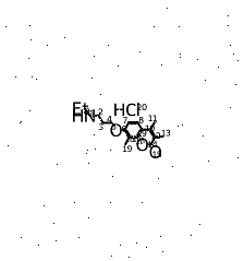 CCNCCCOc1ccc2c(C)c(C)c(=O)oc2c1C.Cl